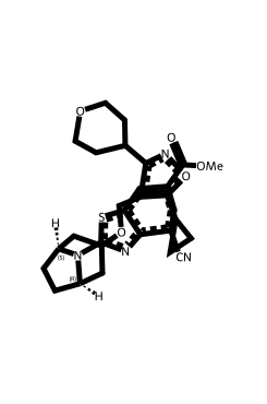 COC(=O)c1cc(C#N)c2nc(N3[C@@H]4CC[C@H]3CC(OCc3c(C5CCOCC5)noc3C3CC3)C4)sc2c1